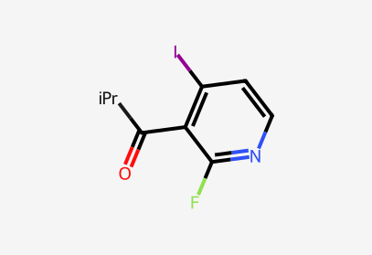 CC(C)C(=O)c1c(I)ccnc1F